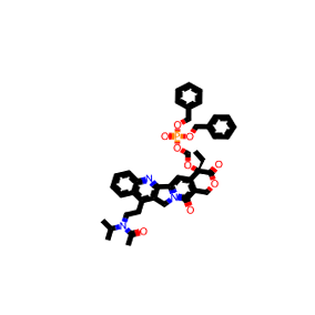 CC[C@@]1(OCOP(=O)(OCc2ccccc2)OCc2ccccc2)C(=O)OCc2c1cc1n(c2=O)Cc2c-1nc1ccccc1c2CCN(C(C)=O)C(C)C